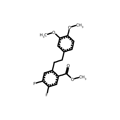 COC(=O)c1cc(F)c(F)cc1CCc1ccc(OC)c(OC)c1